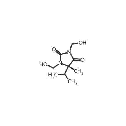 CC(C)C1(C)C(=O)N(CO)C(=O)N1CO